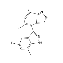 Cc1cc(F)cc2c(-c3c(F)cc(F)c4nn(C)cc34)n[nH]c12